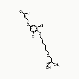 CC(COCCCCCCOc1c(Cl)cc(OCC=C(Cl)Cl)cc1Cl)=NO